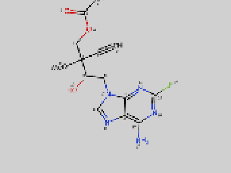 C#CC(COC(=O)CCC)(OC)[C@@H](O)Cn1cnc2c(N)nc(F)nc21